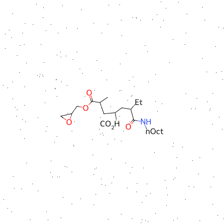 CCCCCCCCNC(=O)C(CC)CC(CC(C)C(=O)OCC1CO1)C(=O)O